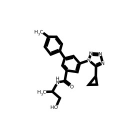 Cc1ccc(-c2cc(C(=O)NC(C)CO)cc(-n3nnnc3C3CC3)c2)cc1